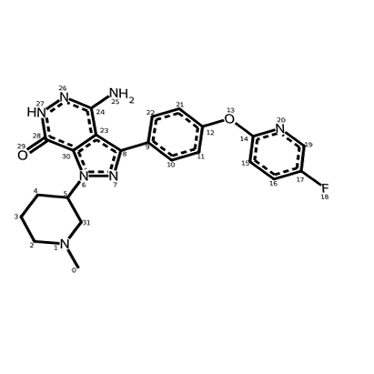 CN1CCCC(n2nc(-c3ccc(Oc4ccc(F)cn4)cc3)c3c(N)n[nH]c(=O)c32)C1